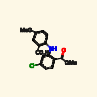 COC(=O)c1ccc(Cl)cc1Nc1ccc(OC)cc1C(=O)O